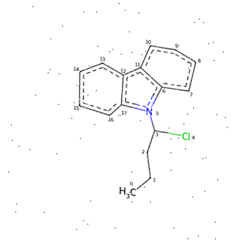 CCCC(Cl)n1c2ccccc2c2ccccc21